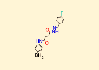 Bc1ccc(NC(=O)CCC(=O)N/N=C/c2ccc(F)cc2)cc1